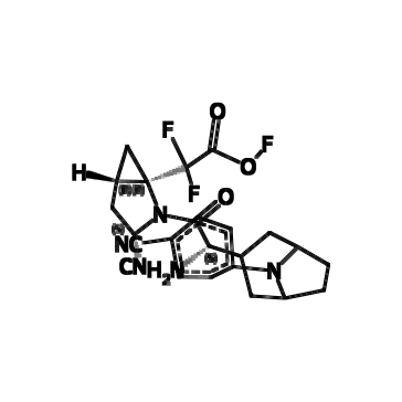 N#Cc1ccc(N2C3CCC2CC([C@H](N)C(=O)N2[C@H](C#N)C[C@@H]4C[C@]42C(F)(F)C(=O)OF)C3)cc1